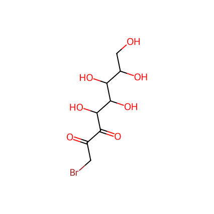 O=C(CBr)C(=O)C(O)C(O)C(O)C(O)CO